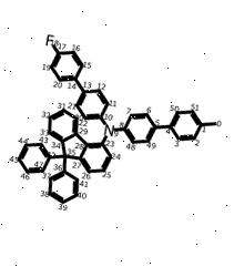 Cc1ccc(-c2ccc(N(c3ccc(-c4ccc(F)cc4)cc3)c3cccc4c3-c3ccccc3C4(c3ccccc3)c3ccccc3)cc2)cc1